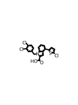 O=C(O)c1cc2c(-c3ccc(Cl)s3)cccc2n1Cc1ccc(Cl)c(Cl)c1